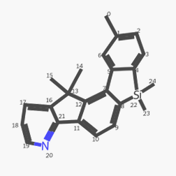 Cc1ccc2c(c1)-c1c(ccc3c1C(C)(C)c1cccnc1-3)[Si]2(C)C